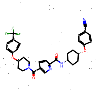 N#Cc1ccc(O[C@H]2CC[C@@H](NC(=O)c3ccc(C(=O)N4CCC(Oc5ccc(C(F)(F)F)cc5)CC4)cn3)CC2)cc1